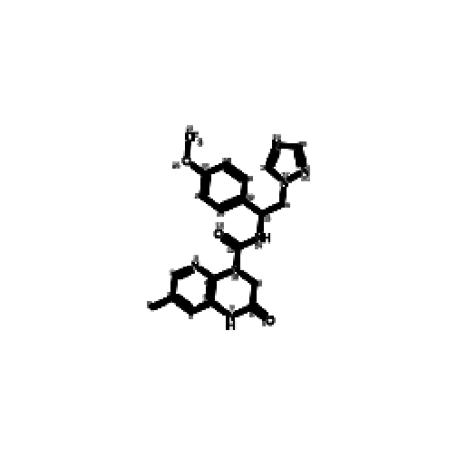 Cc1cnc2c(c1)NC(=O)CN2C(=O)NC(Cn1cncn1)c1ccc(OC(F)(F)F)cc1